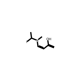 C=C(O)/C=C\N(C)C(C)I